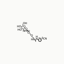 C=C(NCCOCCOCCOC1OC(CO)C(O)C(O)C1NC(C)=O)Nc1cccc(SC#N)n1